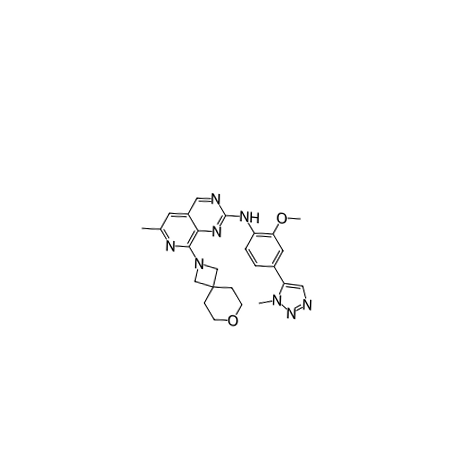 COc1cc(-c2cnnn2C)ccc1Nc1ncc2cc(C)nc(N3CC4(CCOCC4)C3)c2n1